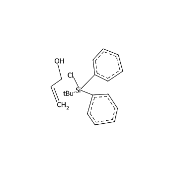 C=CCO.CC(C)(C)[Si](Cl)(c1ccccc1)c1ccccc1